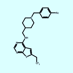 CC(=O)c1ccc(CN2CCC(CNc3ncnc4sc(CC(F)(F)F)cc34)CC2)cc1